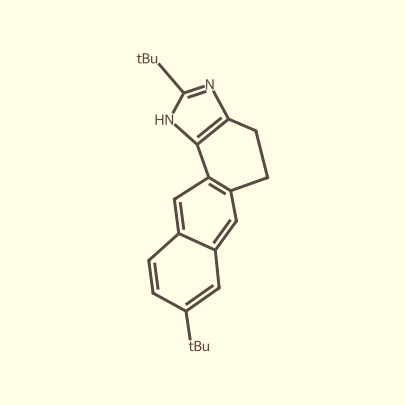 CC(C)(C)c1ccc2cc3c(cc2c1)CCc1nc(C(C)(C)C)[nH]c1-3